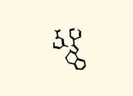 O=C(O)c1cc(-n2c(-c3ccncc3)cc3c2CCc2ccccc2-3)ccn1